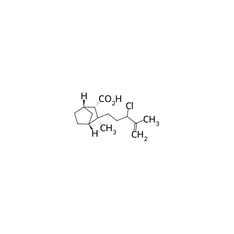 C=C(C)C(Cl)CC[C@@]1(C)[C@@H]2CC[C@@H](C2)[C@@H]1C(=O)O